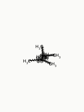 CCCCCCCCC(=O)OC[C@](O)(C(=O)CCCCCCCC)[C@@H](O)[C@H](O)[C@](O)(C(=O)CCCCCCCC)C(O)C(=O)CCCCCCCC